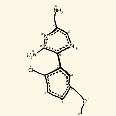 COc1ccc(Cl)c(-c2ncc(N)nc2N)c1